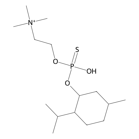 CC1CCC(C(C)C)C(OP(O)(=S)OCC[N+](C)(C)C)C1